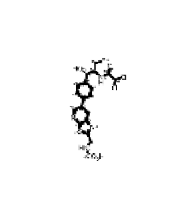 O=C(O)NCc1nc2cc(-c3ccc([C@@H](O)[C@@H](CF)NC(=O)C(Cl)Cl)cc3)cnc2s1